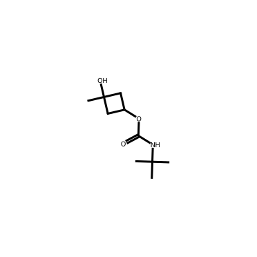 CC1(O)CC(OC(=O)NC(C)(C)C)C1